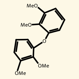 COc1cccc(Oc2cccc(OC)c2OC)c1OC